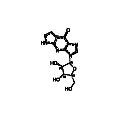 O=c1c2ncn([C@@H]3O[C@H](CO)[C@@H](O)[C@H]3O)c2nc2[nH]ccn12